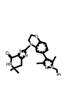 Cc1nn(CC(C)C)c(C)c1-c1ccc2c(c1)N(c1nc3c(s1)C(=O)NC(C)(C)C3)CCO2